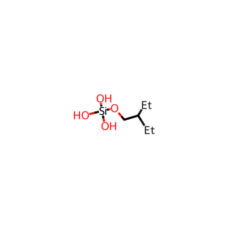 CCC(CC)CO[Si](O)(O)O